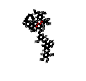 CC#C/C=C\C#C[C@H](O[C@@H]1O[C@H](C)[C@@H](NO[C@H]2C[C@H](O)[C@H](SC(=O)c3c(C)c(I)c(O[C@@H]4O[C@@H](C)[C@H](O)[C@@H](OC)[C@H]4O)c(OC)c3OC)[C@@H](C)O2)[C@H](O)[C@H]1O[C@H]1C[C@H](OC)[C@@H](NCC)CO1)C1=C(NC(=O)OC)C(=O)C[C@](C)(O)/C1=C/CSSC(C)(C)C(=O)O